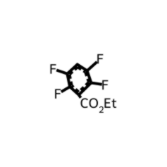 CCOC(=O)c1c(F)c(F)cc(F)c1F